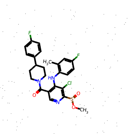 COS(=O)c1ncc(C(=O)N2CCC(c3ccc(F)cc3)CC2)c(Nc2ccc(F)cc2C)c1Cl